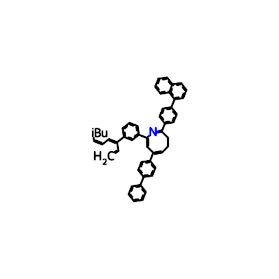 C=C/C(=C\C=C/C(C)CC)c1cccc(C2=C/C(c3ccc(-c4ccccc4)cc3)=C\CC/C(c3ccc(-c4cccc5ccccc45)cc3)=N\2)c1